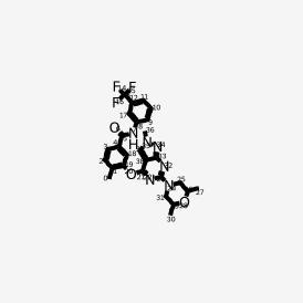 Cc1ccc(C(=O)Nc2cccc(C(F)(F)F)c2)cc1Oc1nc(N2CC(C)OC(C)C2)nc2nn(C)cc12